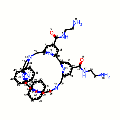 NCCNC(=O)c1cc2nc(c1)-c1cc(C(=O)NCCN)cc(n1)CN1Cc3cccc(n3)-c3cccc(n3)CN(Cc3cccc(n3)-c3cccc(n3)C1)C2